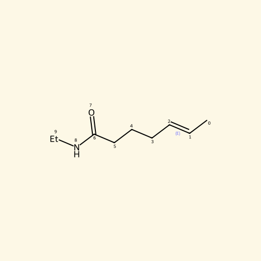 C/C=C/CCCC(=O)NCC